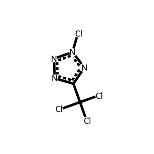 Cln1nnc(C(Cl)(Cl)Cl)n1